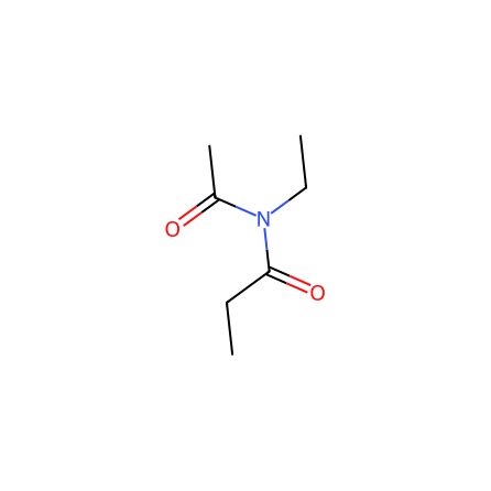 CCC(=O)N(CC)C(C)=O